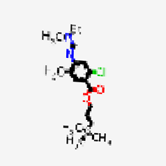 CCN(C)/C=N/c1cc(Cl)c(C(=O)OCCC[Si](C)(C)C)cc1C